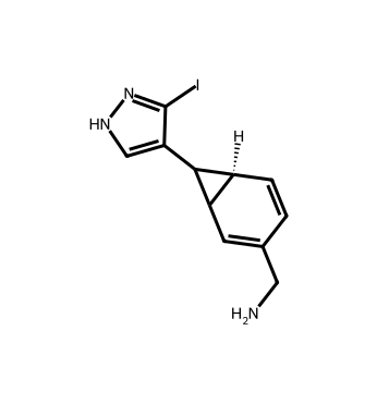 NCC1=CC2C(c3c[nH]nc3I)[C@H]2C=C1